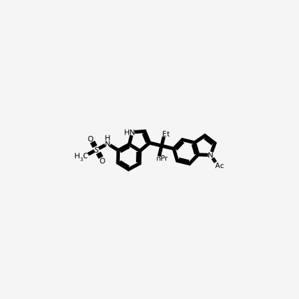 CCCC(CC)(c1ccc2c(ccn2C(C)=O)c1)c1c[nH]c2c(NS(C)(=O)=O)cccc12